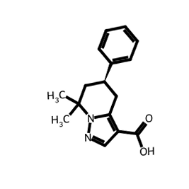 CC1(C)C[C@@H](c2ccccc2)Cc2c(C(=O)O)cnn21